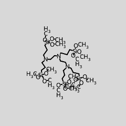 CO[Si](CCCN(CCC[Si](OC)(OC)OC)CCN(CCC[Si](OC)(OC)OC)CCN(CCC[Si](OC)(OC)OC)CCC[Si](OC)(OC)OC)(OC)OC